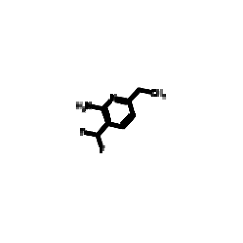 CCc1ccc(C(F)F)c(N)n1